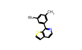 Cc1cc(-c2nccc3ccsc23)cc(C(C)(C)C)c1